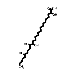 CCCCCC(O)CCCC(O)C(O)CCCCCCCCCCCCCC(O)C(=O)O